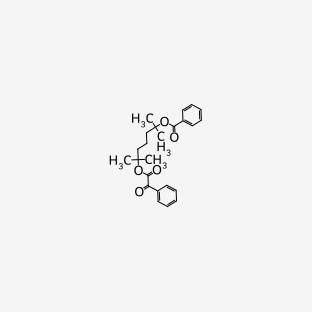 CC(C)(CCCC(C)(C)OC(=O)c1ccccc1)OC(=O)C(=O)c1ccccc1